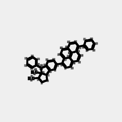 CC1CCC2c3cc(-c4ccc5ccc6c(-c7ccccc7)ccc7ccc4c5c76)ccc3N(c3ccccc3)C12C